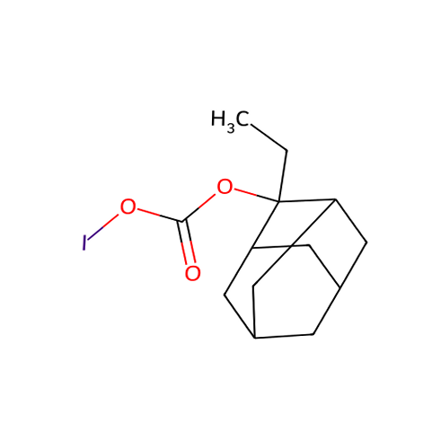 CCC1(OC(=O)OI)C2CC3CC(C2)CC1C3